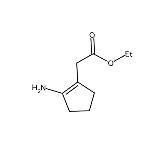 CCOC(=O)CC1=C(N)CCC1